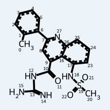 Cc1ccccc1-c1cc(C(=O)NC(=N)N)c2c(NS(C)(=O)=O)cccc2n1